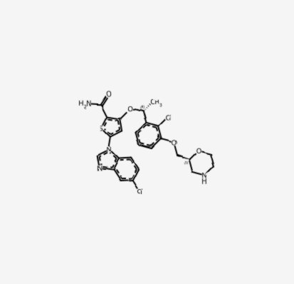 C[C@@H](Oc1cc(-n2cnc3cc(Cl)ccc32)sc1C(N)=O)c1cccc(OC[C@@H]2CNCCO2)c1Cl